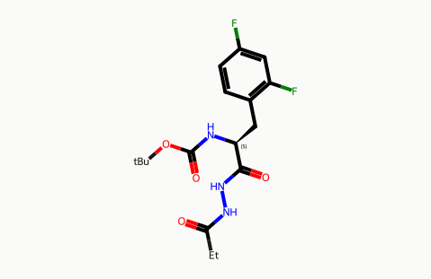 CCC(=O)NNC(=O)[C@H](Cc1ccc(F)cc1F)NC(=O)OC(C)(C)C